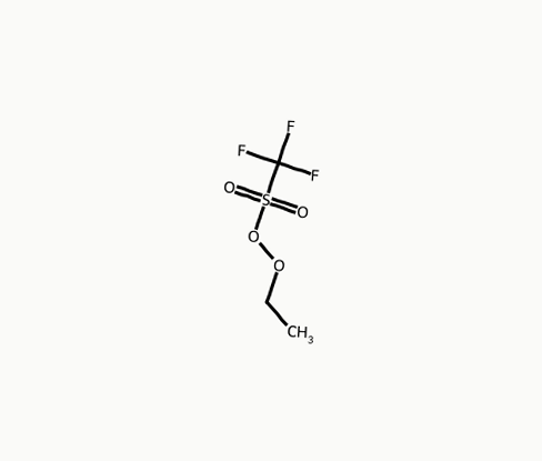 CCOOS(=O)(=O)C(F)(F)F